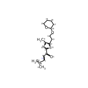 Cc1nc(C(=O)/C=C/N(C)C)sc1CCOC1CCCCO1